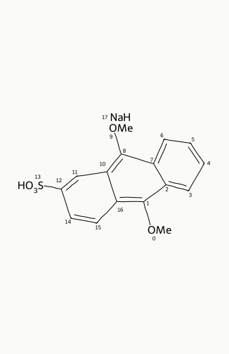 COc1c2ccccc2c(OC)c2cc(S(=O)(=O)O)ccc12.[NaH]